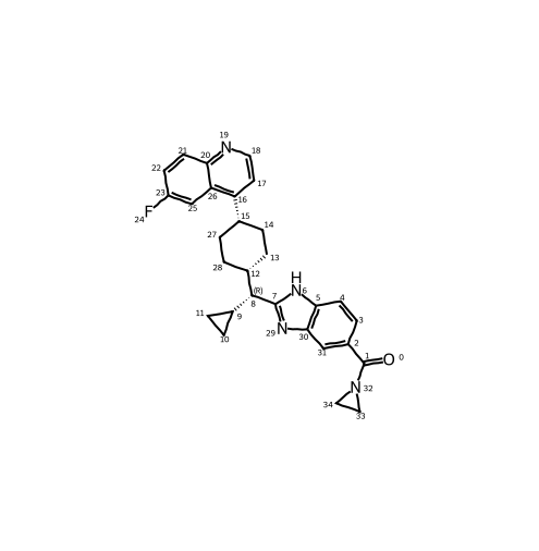 O=C(c1ccc2[nH]c([C@H](C3CC3)[C@H]3CC[C@@H](c4ccnc5ccc(F)cc54)CC3)nc2c1)N1CC1